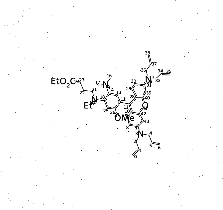 C=CCN(CC=C)c1ccc2c(-c3cc(N(C)C)c(N(CC)CCCC(=O)OCC)cc3OC)c3ccc(=[N+](CC=C)CC=C)cc-3oc2c1